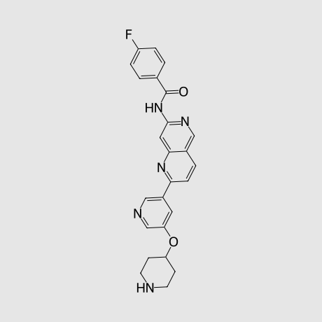 O=C(Nc1cc2nc(-c3cncc(OC4CCNCC4)c3)ccc2cn1)c1ccc(F)cc1